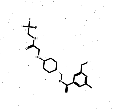 C=C(NC[C@H]1CC[C@H](NCC(=O)NCC(F)(F)F)CC1)c1cc(C)cc(CF)c1